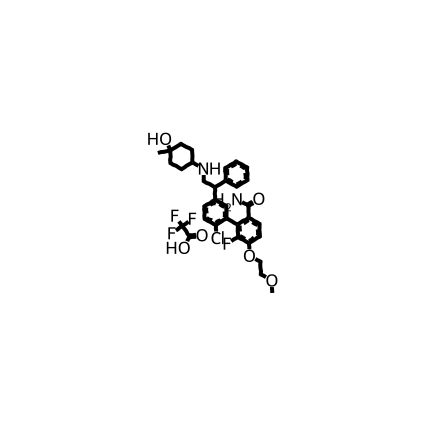 COCCOc1ccc(C(N)=O)c(-c2cc(C(CNC3CCC(C)(O)CC3)c3ccccc3)ccc2Cl)c1F.O=C(O)C(F)(F)F